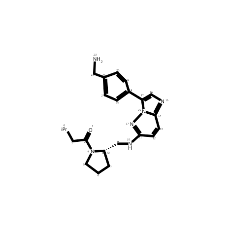 CC(C)CC(=O)N1CCC[C@H]1CNc1ccc2ncc(-c3ccc(CN)cc3)n2n1